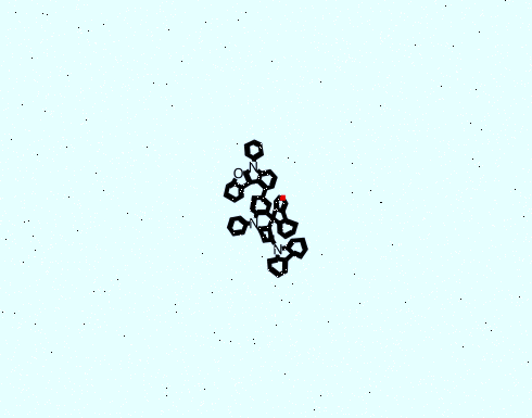 c1ccc(N2c3ccc(-c4cccc5c4c4c6ccccc6oc4n5-c4ccccc4)cc3C3(c4ccccc4-c4ccccc43)c3cc(-n4c5ccccc5c5ccccc54)ccc32)cc1